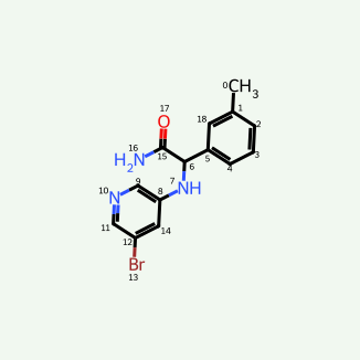 Cc1cccc(C(Nc2cncc(Br)c2)C(N)=O)c1